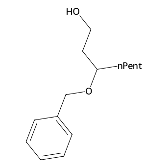 CCCCCC(CCO)OCc1ccccc1